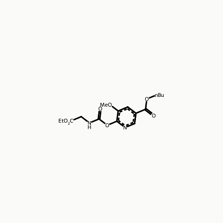 CCCCOC(=O)c1cnc(OC(=O)NCC(=O)OCC)c(OC)c1